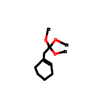 CCO[Si](CC1=CCCCC1)(OCC)OCC